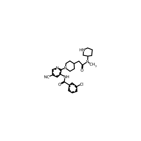 CN(C(=O)CC1CCN(c2ncc(C#N)cc2NC(=O)c2cccc(Cl)c2)CC1)C1CCCNC1